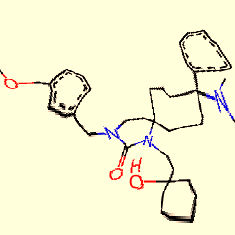 COc1cccc(CN2CC3(CCC(c4ccccc4)(N(C)C)CC3)N(CC3(O)CCC3)C2=O)c1